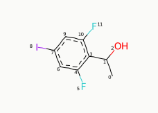 CC(O)c1c(F)cc(I)cc1F